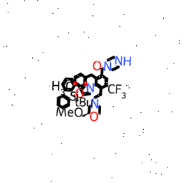 COC[C@H]1CN(CCc2c(C(F)(F)F)cc(C(=O)N3CCNCC3)c(Cc3ccc(C)c(O[Si](c4ccccc4)(c4ccccc4)C(C)(C)C)c3)c2-n2cccc2)CCO1